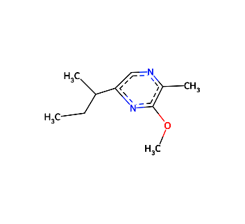 CCC(C)c1cnc(C)c(OC)n1